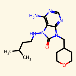 CC(C)CCNn1c(=O)n(CC2CCOCC2)c2ncnc(N)c21